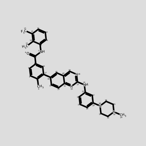 Cc1ccc(C(=O)Nc2cccc(C(F)(F)F)c2C)cc1-c1ccc2nc(Nc3cccc(N4CCN(C)CC4)c3)ncc2c1